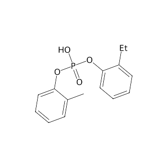 CCc1ccccc1OP(=O)(O)Oc1ccccc1C